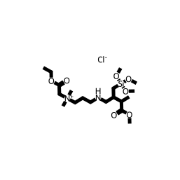 CCOC(=O)C[N+](C)(C)CCCNCC(C[Si](OC)(OC)OC)C(C)C(=O)OC.[Cl-]